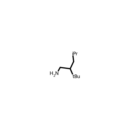 CC(C)CC(CN)C(C)(C)C